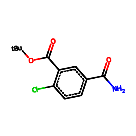 CC(C)(C)OC(=O)c1cc(C(N)=O)ccc1Cl